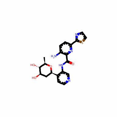 C[C@H]1O[C@@H](c2ccncc2NC(=O)c2nc(-c3nccs3)ccc2N)C[C@@H](O)[C@@H]1O